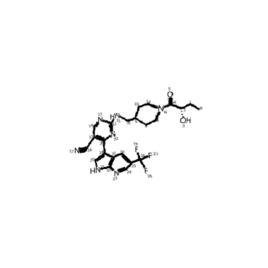 CC[C@H](O)C(=O)N1CCC(CNc2ncc(C#N)c(-c3c[nH]c4ncc(C(F)(F)F)cc34)n2)CC1